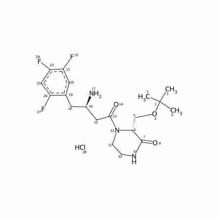 CC(C)(C)OC[C@@H]1C(=O)NCCN1C(=O)C[C@H](N)Cc1cc(F)c(F)cc1F.Cl